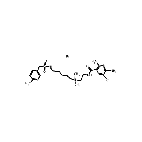 Cc1ccc(CS(=O)(=O)NCCCCC[N+](C)(C)CCNC(=O)c2nc(Cl)c(N)nc2N)cc1.[Br-]